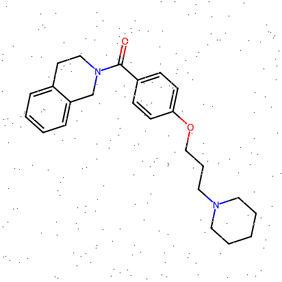 O=C(c1ccc(OCCCN2CCCCC2)cc1)N1CCc2ccccc2C1